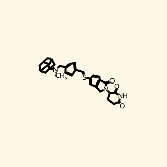 CN(Cc1ccc(CSc2ccc3c(c2)CN(C2CCC(=O)NC2=O)C3=O)cc1)C12CC3CC(CC(C3)C1)C2